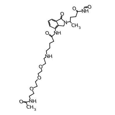 CC(=O)NCCOCCOCCOCCNCCCCC(=O)Nc1cccc2c1CN(C(C)CCC(=O)NC=O)C2=O